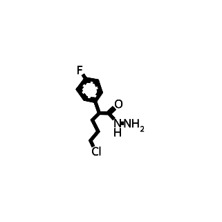 NNC(=O)C(CCCCl)c1ccc(F)cc1